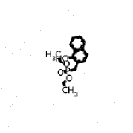 CCOP(=O)(Cc1ccc2ccccc2c1O)OCC